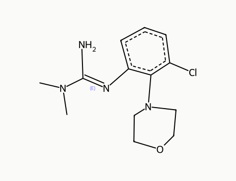 CN(C)/C(N)=N/c1cccc(Cl)c1N1CCOCC1